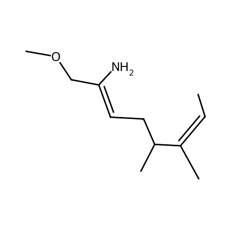 C/C=C(/C)C(C)C/C=C(\N)COC